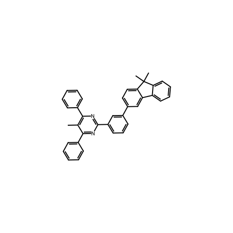 Cc1c(-c2ccccc2)nc(-c2cccc(-c3ccc4c(c3)-c3ccccc3C4(C)C)c2)nc1-c1ccccc1